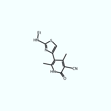 CCNc1nc(-c2c(C)[nH]c(=O)c(C#N)c2C)cs1